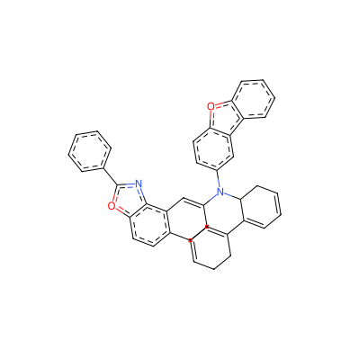 C1=CCCC(C2=CC=CCC2N(C2=Cc3c(ccc4oc(-c5ccccc5)nc34)CC2)c2ccc3oc4ccccc4c3c2)=C1